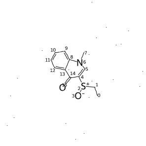 CC[S+]([O-])c1cn(C)c2ccccc2c1=O